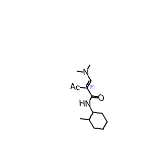 CC(=O)/C(=C\N(C)C)C(=O)NC1CCCCC1C